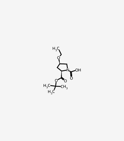 CCO[C@@H]1C[C@H](C(=O)OC(C)(C)C)N(C(=O)O)C1